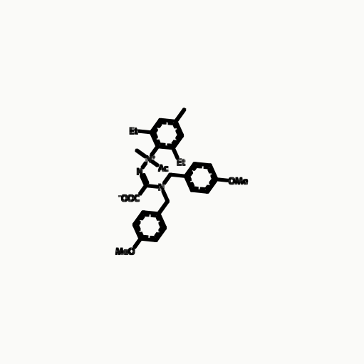 CCc1cc(C)cc(CC)c1[N+](C)(N=C(C(=O)[O-])N(Cc1ccc(OC)cc1)Cc1ccc(OC)cc1)C(C)=O